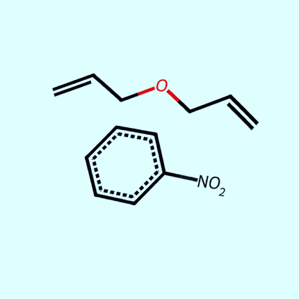 C=CCOCC=C.O=[N+]([O-])c1ccccc1